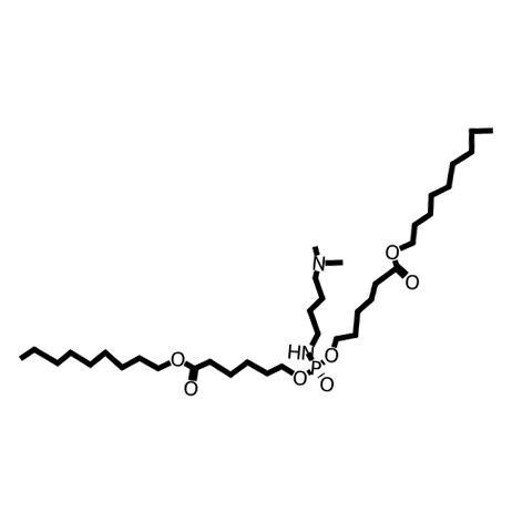 CCCCCCCCCOC(=O)CCCCCOP(=O)(NCCCCN(C)C)OCCCCCC(=O)OCCCCCCCCC